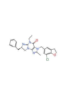 CCN1C(=O)c2c(nc(C)n2Cc2cc(Cl)c3c(c2)CCO3)N2C[C@@H](Cc3ccccc3)N=C12